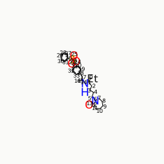 CCC(CCCCN1CCCCCC1=O)NC(C)Cc1ccc(OS(=O)(=O)c2ccccc2)cc1